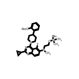 COc1ccccc1C1CCN(c2nc(C3CC3)nc3ccc(N(C)CCO[Si](C)(C)C(C)(C)C)c(F)c23)CC1